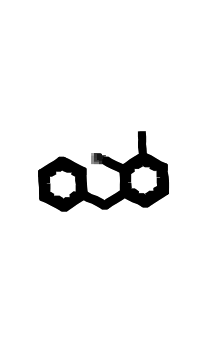 Cc1cccc(Cc2ccccc2)c1C(C)C